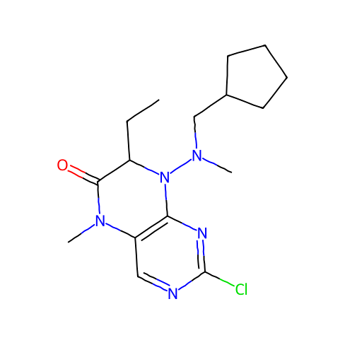 CCC1C(=O)N(C)c2cnc(Cl)nc2N1N(C)CC1CCCC1